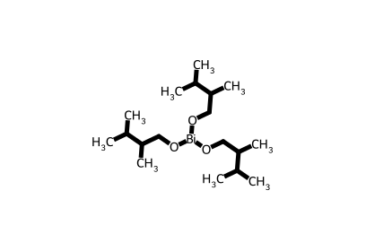 CC(C)C(C)C[O][Bi]([O]CC(C)C(C)C)[O]CC(C)C(C)C